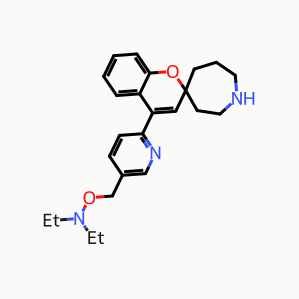 CCN(CC)OCc1ccc(C2=CC3(CCCNCC3)Oc3ccccc32)nc1